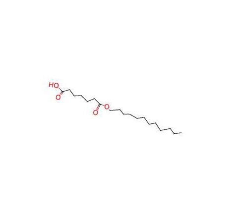 CCCCCCCCCCCCOC(=O)CCCCCC(=O)O